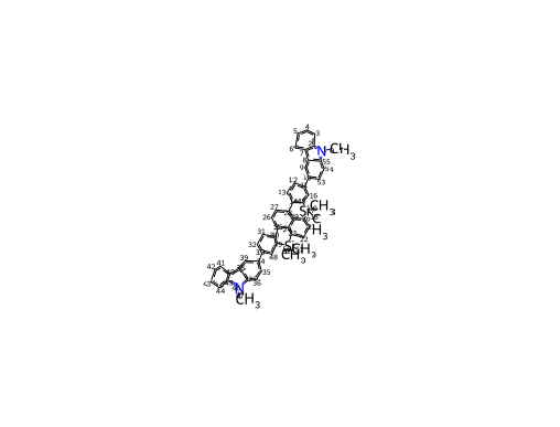 Cn1c2ccccc2c2cc(-c3ccc4c(c3)[Si](C)(C)c3ccc5c6c(ccc-4c36)-c3ccc(-c4ccc6c(c4)c4ccccc4n6C)cc3[Si]5(C)C)ccc21